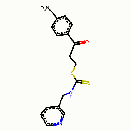 O=C(CCSC(=S)NCc1cccnc1)c1ccc([N+](=O)[O-])cc1